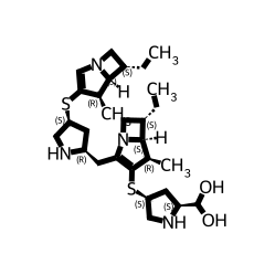 CC[C@H]1CN2C=C(S[C@@H]3CN[C@H](CC4=C(S[C@@H]5CN[C@H](C(O)O)C5)[C@H](C)[C@@H]5[C@@H](CC)CN45)C3)[C@H](C)[C@H]12